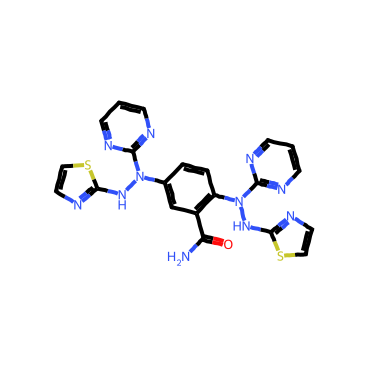 NC(=O)c1cc(N(Nc2nccs2)c2ncccn2)ccc1N(Nc1nccs1)c1ncccn1